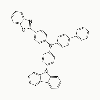 c1ccc(-c2ccc(N(c3ccc(-c4nc5ccccc5o4)cc3)c3ccc(-n4c5ccccc5c5ccccc54)cc3)cc2)cc1